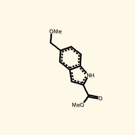 COCc1ccc2[nH]c(C(=O)OC)cc2c1